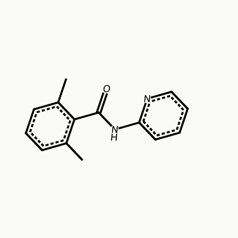 Cc1cccc(C)c1C(=O)Nc1ccccn1